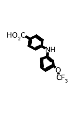 O=C(O)c1ccc(Nc2cccc(OC(F)(F)F)c2)cc1